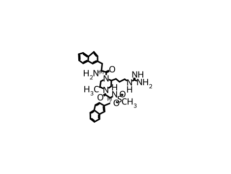 CC1CN(C(=O)[C@H](N)Cc2ccc3ccccc3c2)C(CCCNC(=N)N)CN1C(=O)[C@@H](Cc1ccc2ccccc2c1)NS(C)(=O)=O